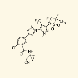 Cn1nc(OS(=O)(=O)C(F)(C(F)(F)F)C(F)(F)F)c(C(F)(F)F)c1-n1cc(-c2ccc(Cl)c(C(=O)NC3(CC#N)CC3)c2)cn1